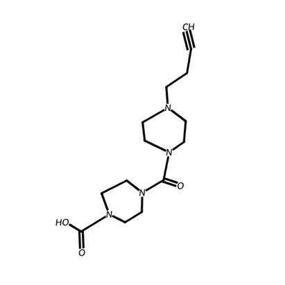 C#CCCN1CCN(C(=O)N2CCN(C(=O)O)CC2)CC1